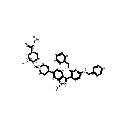 Cn1nc(-c2ccc(OCc3ccccc3)nc2OCc2ccccc2)c2ccc(C3CCN(C[C@H]4CCN(C(=O)OC(C)(C)C)C[C@H]4F)CC3)cc21